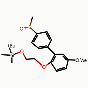 COc1ccc(OCCO[Si](C)(C)C(C)(C)C)c(-c2ccc([S+](C)[O-])cc2)c1